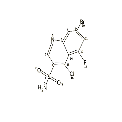 NS(=O)(=O)c1cnc2cc(Br)cc(F)c2c1Cl